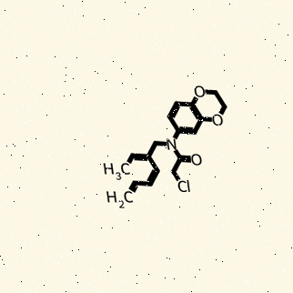 C=C/C=C\C(=C/C)CN(C(=O)CCl)c1ccc2c(c1)OCCO2